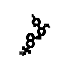 Cc1ccc(Nc2cccc3c2CCN(S(C)(=O)=O)C3)cc1-c1ccc(F)cn1